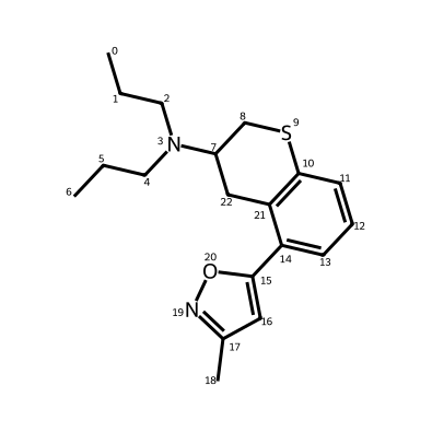 CCCN(CCC)C1CSc2cccc(-c3cc(C)no3)c2C1